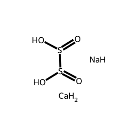 O=S(O)S(=O)O.[CaH2].[NaH]